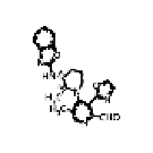 Cc1cnc(C=O)c(-c2ncco2)c1N1CCC[C@@H](Nc2nc3ccccc3o2)[C@@H]1C